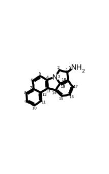 NC1Cn2c3ccc4ccccc4c3c3cccc1c32